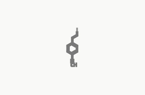 C#Cc1ccc(CCI)cc1